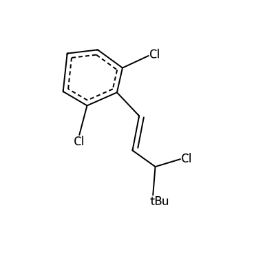 CC(C)(C)C(Cl)C=Cc1c(Cl)cccc1Cl